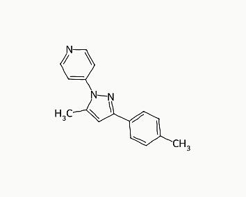 Cc1ccc(-c2cc(C)n(-c3ccncc3)n2)cc1